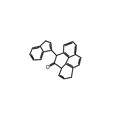 O=C1C2C=CCc3ccc4cccc(c4c32)C1C1=CCc2ccccc21